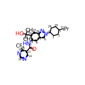 CC(C)C1CCC(n2cc3cc(NC(=O)c4cncnc4C(F)(F)F)c(C(C)(C)O)cc3n2)CC1